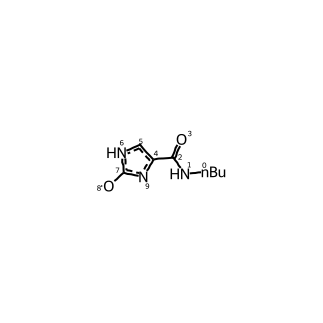 CCCCNC(=O)c1c[nH]c([O])n1